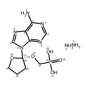 N.N.Nc1ncnc2c1ncn2[C@@]1(OCP(=O)(O)O)CCCO1